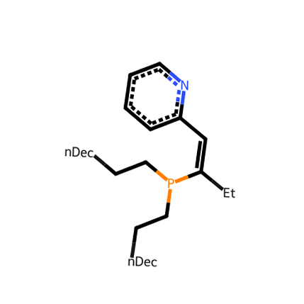 CCCCCCCCCCCCP(CCCCCCCCCCCC)C(=Cc1ccccn1)CC